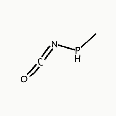 CPN=C=O